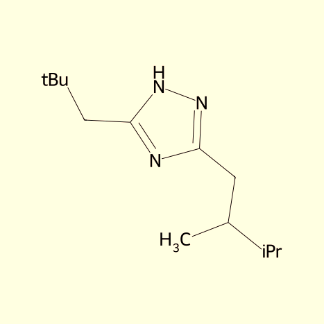 CC(C)C(C)Cc1n[nH]c(CC(C)(C)C)n1